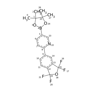 CC1(C)OB(c2ccc(-c3ccc4c(c3)C(F)(F)OC4(F)F)nc2)OC1(C)C